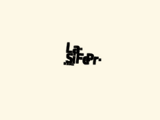 [Fe].[La].[Pr].[Si]